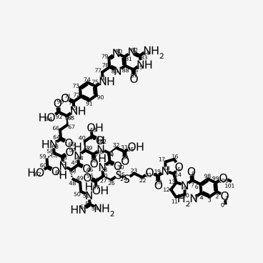 COc1cc(N)c(C(=O)N2CCCC2C2OCCN2C(=O)OCCSSC[C@H](NC(=O)[C@H](CC(=O)O)NC(=O)[C@H](CC(=O)O)NC(=O)[C@H](CCCNC(=N)N)NC(=O)[C@H](CC(=O)O)NC(=O)CC[C@H](NC(=O)c2ccc(NCc3cnc4nc(N)[nH]c(=O)c4n3)cc2)C(=O)O)C(=O)O)cc1OC